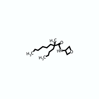 CCCCCCC(C)(CCCC)C(=O)NC1COC1